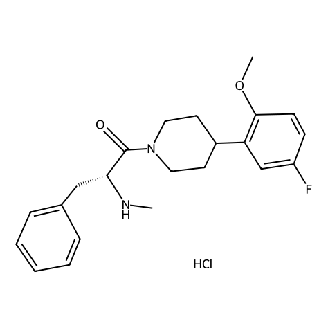 CN[C@H](Cc1ccccc1)C(=O)N1CCC(c2cc(F)ccc2OC)CC1.Cl